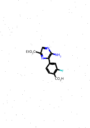 CCOC(=O)c1cnc(N)c(-c2ccc(C(=O)O)c(F)c2)n1